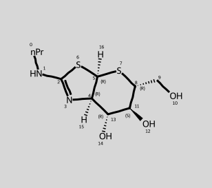 CCCNC1=N[C@H]2[C@@H](S1)S[C@H](CO)[C@@H](O)[C@@H]2O